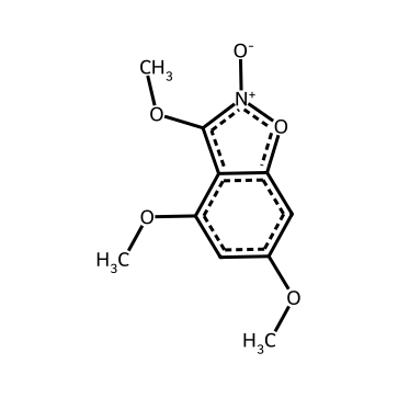 COc1cc(OC)c2c(OC)[n+]([O-])oc2c1